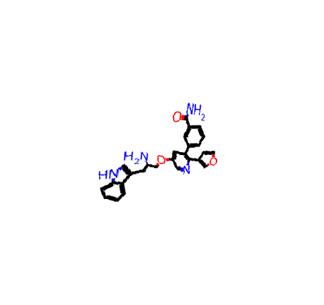 NC(=O)c1cccc(-c2cc(OC[C@H](N)Cc3c[nH]c4ccccc34)cnc2-c2ccoc2)c1